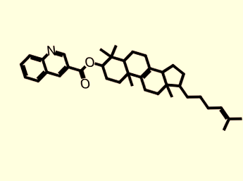 CC(C)=CCCCC1CCC2C3=C(CCC12C)C1(C)CCC(OC(=O)c2cnc4ccccc4c2)C(C)(C)C1CC3